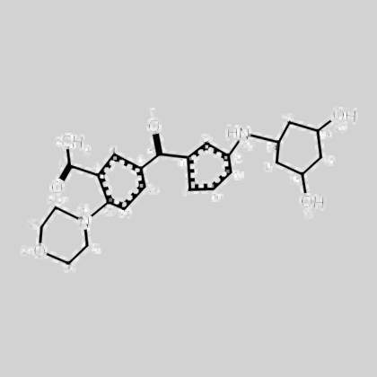 CC(=O)c1cc(C(=O)c2cccc(NC3CC(O)CC(O)C3)c2)ccc1N1CCOCC1